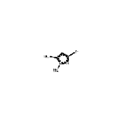 CC(C)c1cc(C#N)n(S)n1